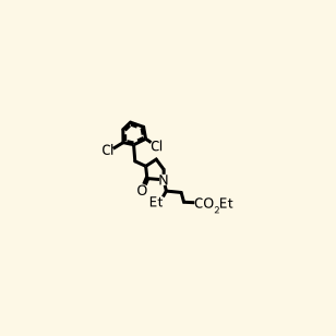 CCOC(=O)CCC(CC)N1CCC(Cc2c(Cl)cccc2Cl)C1=O